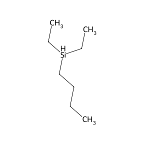 CCCC[SiH](CC)CC